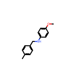 COc1ccc(NCc2ccc(C)cc2)cc1